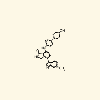 Cn1cc2ncc(-c3ccc(Nc4ccc(N5CCC(O)CC5)cn4)c4c3CNC4=O)c-2cn1